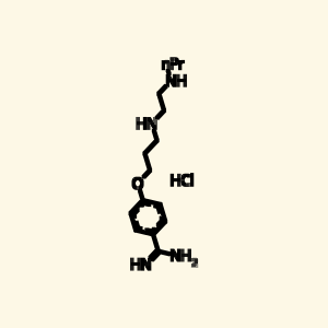 CCCNCCNCCCOc1ccc(C(=N)N)cc1.Cl